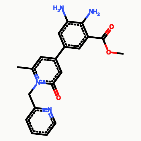 COC(=O)c1cc(-c2cc(C)n(Cc3ccccn3)c(=O)c2)cc(N)c1N